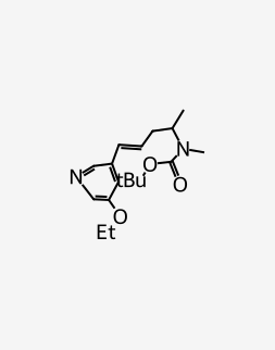 CCOc1cncc(C=CCC(C)N(C)C(=O)OC(C)(C)C)c1